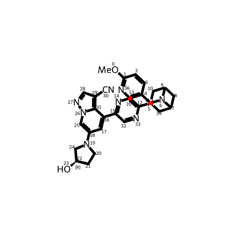 COc1ccc(CN2C3CC2CN(c2cnc(-c4cc(N5CC[C@@H](O)C5)cn5ncc(C#N)c45)cn2)C3)cn1